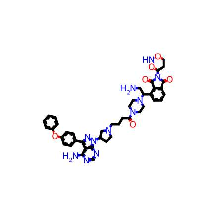 NCC(c1cccc2c1C(=O)N(C1CCONO1)C2=O)N1CCN(C(=O)CCCN2CCC(n3nc(-c4ccc(Oc5ccccc5)cc4)c4c(N)ncnc43)C2)CC1